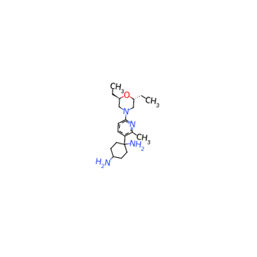 CC[C@@H]1CN(c2ccc(C3(N)CCC(N)CC3)c(C)n2)C[C@@H](CC)O1